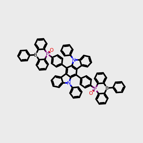 O=P1(c2ccc(-c3c4c5ccccc5n(-c5ccccc5)c4c(-c4ccc(P5(=O)c6ccccc6B(c6ccccc6)c6ccccc65)cc4)c4c5ccccc5n(-c5ccccc5)c34)cc2)c2ccccc2B(c2ccccc2)c2ccccc21